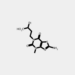 CCC(CCn1c(=O)c2sc(N)nc2n(C)c1=O)C(=O)O